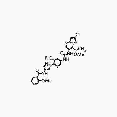 COc1ccccc1C(=O)Nc1cnn(-c2ncc(NC(=O)Nc3cnc4cc(Cl)nn4c3[C@H](C)OC)cc2C(F)(F)F)c1